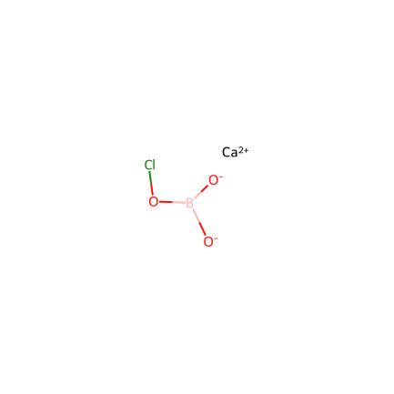 [Ca+2].[O-]B([O-])OCl